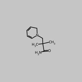 CC(C)(CN1C=CC=CC1)C(N)=O